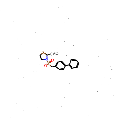 O=C[C@@H]1SCCN1S(=O)(=O)Cc1ccc(-c2ccccc2)cc1